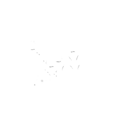 C[C@H](C=O)Oc1nc(N2CCN(C(=O)OC(C)(C)C)CC2)c2cc(Cl)c(-c3cc(O)cc4ccccc34)c(F)c2n1